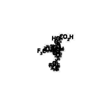 O=C(O)C[C@H](O)CC(=O)N1C[C@H]2CC(c3ccc(CCCOc4c(F)ccc(F)c4F)cc3)=C(C(=O)N(Cc3cccc(C(F)(F)F)c3)C3CC3)[C@@H](C1)N2